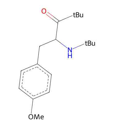 COc1ccc(CC(NC(C)(C)C)C(=O)C(C)(C)C)cc1